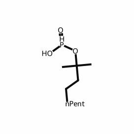 CCCCCCCC(C)(C)O[PH](=O)O